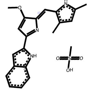 COC1=CC(c2cc3ccccc3[nH]2)=N/C1=C\c1[nH]c(C)cc1C.CS(=O)(=O)O